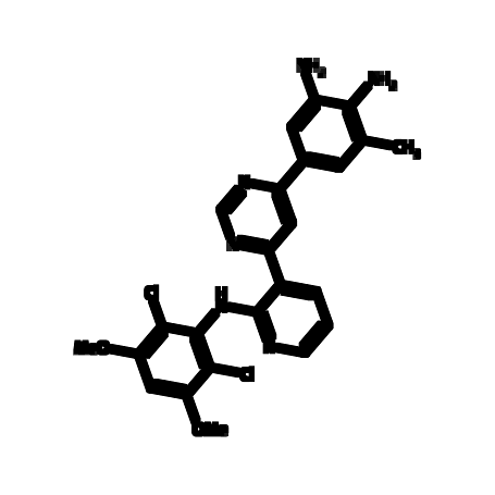 COc1cc(OC)c(Cl)c(Nc2ncccc2-c2cc(-c3cc(C)c(N)c(N)c3)ncn2)c1Cl